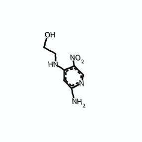 Nc1cc(NCCO)c([N+](=O)[O-])cn1